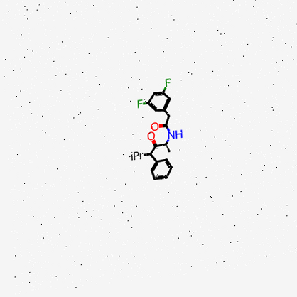 C[C](C)C(C(=O)[C@H](C)NC(=O)Cc1cc(F)cc(F)c1)c1ccccc1